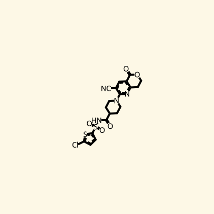 N#Cc1cc2c(nc1N1CCC(C(=O)NS(=O)(=O)c3ccc(Cl)s3)CC1)CCOC2=O